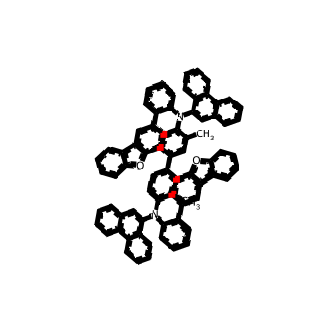 Cc1cc(-c2ccc(N(c3ccccc3-c3ccc4oc5ccccc5c4c3)c3cc4ccccc4c4ccccc34)c(C)c2)ccc1N(c1ccccc1-c1ccc2oc3ccccc3c2c1)c1cc2ccccc2c2ccccc12